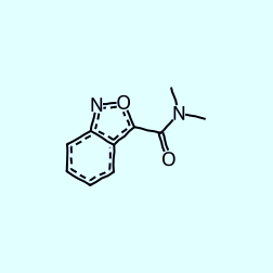 CN(C)C(=O)c1onc2ccccc12